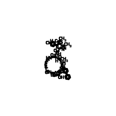 Cc1sc2c(c1C)C(c1ccc(Cl)cc1)=N[C@@H](CC(=O)NC[C@H]1NC(=O)[C@@H](C)NC(=O)[C@@H](Cc3ccc(-c4ccccc4)cc3)NC(=O)[C@@H]3C[C@@H](O)CN3C(=O)[C@H](C(C)(C)C)NC(=O)CCCCCCNC1=O)c1nnc(C)n1-2